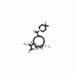 C=C1C(=O)O[C@H]2[C@H]1CC/C(C(=O)N1CCC(F)(F)CC1)=C\CC[C@@]1(C)O[C@@H]21